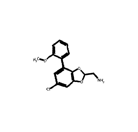 COc1ccccc1-c1cc(Cl)cc2c1OC(CN)O2